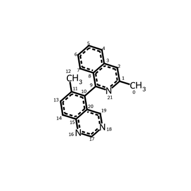 Cc1cc2ccccc2c(-c2c(C)ccc3ncncc23)n1